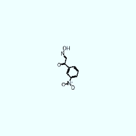 O=C(C=NO)c1cccc([N+](=O)[O-])c1